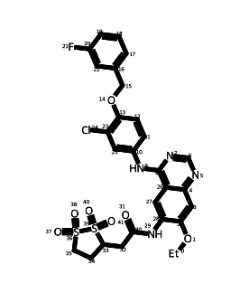 CCOc1cc2ncnc(Nc3ccc(OCc4cccc(F)c4)c(Cl)c3)c2cc1NC(=O)CC1CCS(=O)(=O)S1(=O)=O